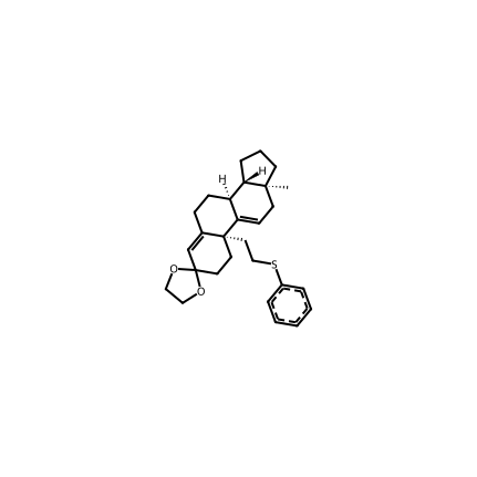 C[C@]12CC=C3[C@@H](CCC4=CC5(CC[C@@]43CCSc3ccccc3)OCCO5)[C@@H]1CCC2